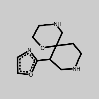 c1coc(C2CNCCC23CNCCO3)n1